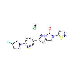 O=C1N(c2ccns2)Cc2cc(-c3ccc(N4CC[C@@H](F)C4)nc3)nn21.[Cl-].[H+]